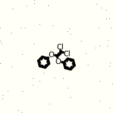 ClC(Cl)=C(Oc1ccccc1)Oc1ccccc1